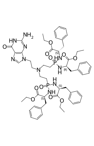 CCOC(=O)[C@H](Cc1ccccc1)NP(=O)(CCN(CCn1cnc2c(=O)[nH]c(N)nc21)CCP(=O)(N[C@@H](Cc1ccccc1)C(=O)OCC)N[C@H](Cc1ccccc1)C(=O)OCC)N[C@@H](Cc1ccccc1)C(=O)OCC